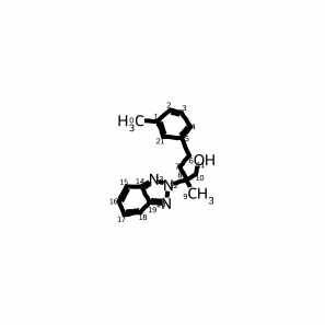 Cc1cccc(CCC(C)(CO)n2nc3ccccc3n2)c1